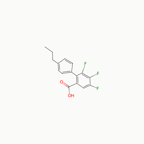 CCCc1ccc(-c2c(C(=O)O)cc(F)c(F)c2F)cc1